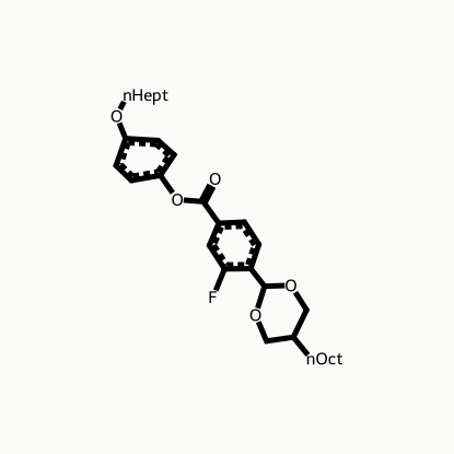 CCCCCCCCC1COC(c2ccc(C(=O)Oc3ccc(OCCCCCCC)cc3)cc2F)OC1